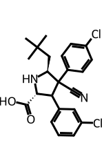 CC(C)(C)C[C@@H]1N[C@@H](C(=O)O)C(c2cccc(Cl)c2)C1(C#N)c1ccc(Cl)cc1